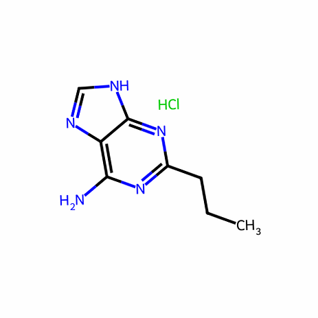 CCCc1nc(N)c2nc[nH]c2n1.Cl